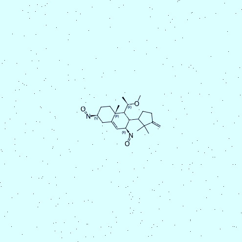 C=C1CCC(C2C([C@@H](C)OC)[C@@]3(C)CC[C@H](N=O)CC3=C[C@@H]2N=O)C1(C)C